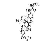 CCCCNC(=O)Nc1ccc(Oc2nc(C)cc(Nc3cc(C(=O)OCC)n[nH]3)n2)c(C(F)(F)F)c1